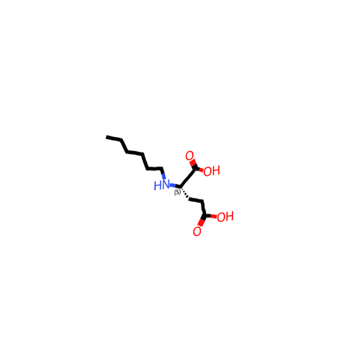 CCCCCCN[C@@H](CCC(=O)O)C(=O)O